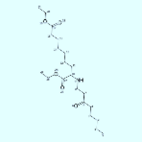 CCCCCC(=O)CCNC(CCCCCCC(=O)OCC)C(=O)OCC